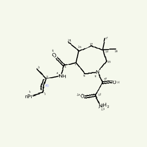 CCC/C=C(\C)NC(=O)C1CN(C(=O)C(N)=O)CC(C)(C)CC1C